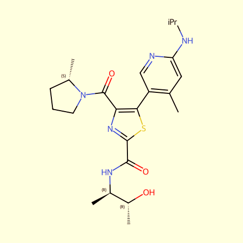 Cc1cc(NC(C)C)ncc1-c1sc(C(=O)N[C@H](C)[C@@H](C)O)nc1C(=O)N1CCC[C@@H]1C